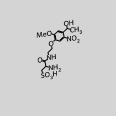 COc1cc(C(C)O)c([N+](=O)[O-])cc1OCCNC(=O)C(N)CS(=O)(=O)O